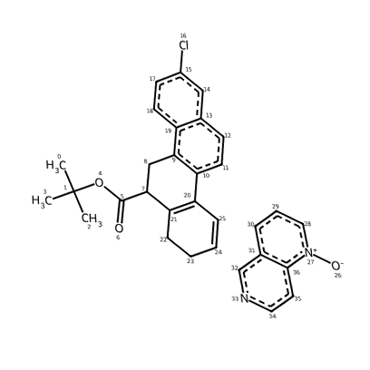 CC(C)(C)OC(=O)C1Cc2c(ccc3cc(Cl)ccc23)C2=C1CCC=C2.[O-][n+]1cccc2cnccc21